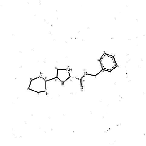 O=C(OCc1ccccc1)[C@@H]1CC(C2OCCCO2)CN1